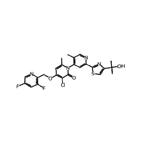 Cc1cnc(-c2nc(C(C)(C)O)cs2)cc1-n1c(C)cc(OCc2ncc(F)cc2F)c(Cl)c1=O